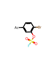 CC(=O)c1ccc(Br)c(OS(=O)(=O)F)c1